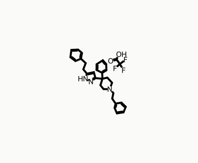 O=C(O)C(F)(F)F.c1ccc(CCc2cc(C3(c4ccccc4)CCN(CCc4ccccc4)CC3)n[nH]2)cc1